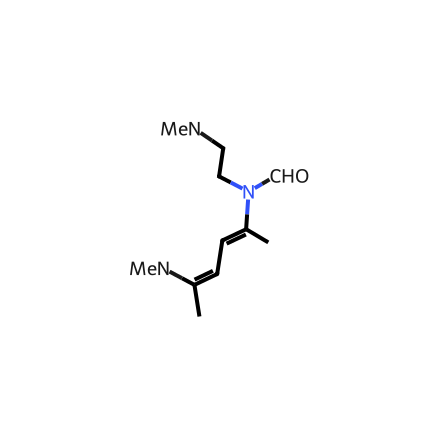 CNCCN(C=O)/C(C)=C/C=C(/C)NC